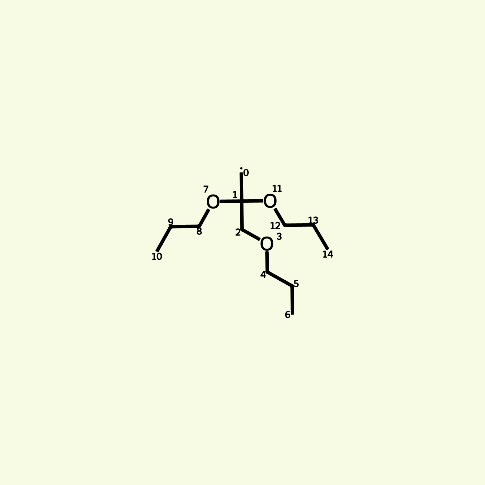 [CH2]C(COCCC)(OCCC)OCCC